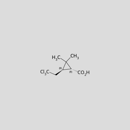 CC1(C)[C@H](CC(Cl)(Cl)Cl)[C@H]1C(=O)O